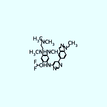 CCn1ncc2cc(-c3cc(Nc4cc(NC)c(N(C)CCN(C)C)cc4OC(F)F)ncn3)ccc21